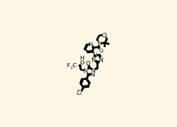 CC1(C)COCCN1C(=O)c1ncccc1-n1cnc(Cn2nc(-c3ccc(Cl)cc3)n(C[C@@H](O)C(F)(F)F)c2=O)n1